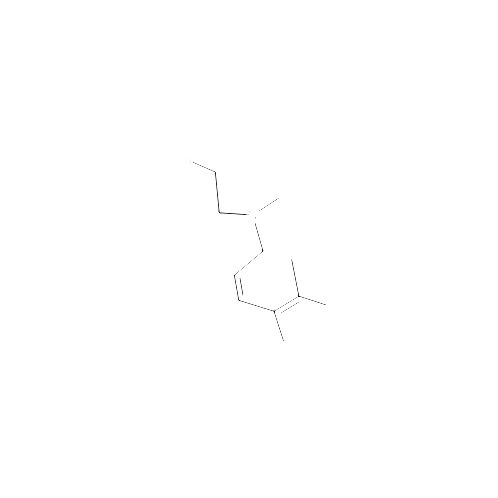 CC(C)=C(C)/C=C\CN(C)CCC(C)(C)C